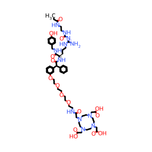 CCC(=O)NCCNC(=O)/N=C(/N)NCCC[C@@H](NC(=O)C(c1ccccc1)c1cccc(OCCOCCOCCOCCNC(=O)CN2CCN(CC(=O)O)CCN(CC(=O)O)CCN(CC(=O)O)CC2)c1)C(=O)NCc1ccc(O)cc1